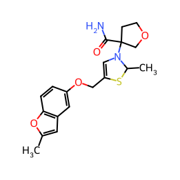 Cc1cc2cc(OCC3=CN(C4(C(N)=O)CCOC4)C(C)S3)ccc2o1